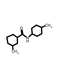 CC1CCC(NC(=O)C2CCCC(C)C2)CC1